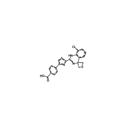 O=C(O)c1ccc(-c2csc(C3=NC4(COC4)c4cccc(Cl)c4N3)n2)cc1